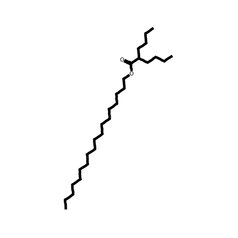 CCCCCCCCCCCCCCCCCCOC(=O)[C](CCCC)CCCC